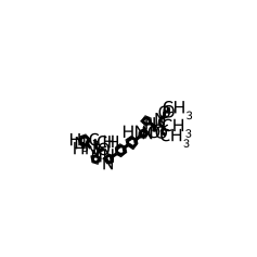 COO/C=N/[C@H](C(=O)N1CCC[C@H]1c1ncc(-c2ccc(-c3ccc(-c4cnc([C@@H]5CCCN5C(=O)[C@@H](Nc5cccnc5)C(C)C)[nH]4)cc3)cc2)[nH]1)[C@@H](C)OC